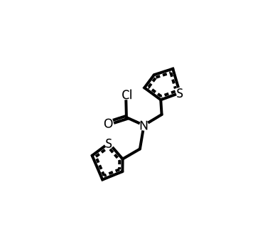 O=C(Cl)N(Cc1cccs1)Cc1cccs1